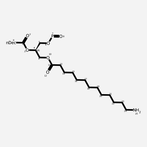 CCCCCCCCCCC(=O)O[C@@H](COP=O)COC(=O)CCCCCCCCCCCCN